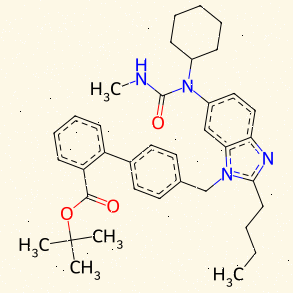 CCCCc1nc2ccc(N(C(=O)NC)C3CCCCC3)cc2n1Cc1ccc(-c2ccccc2C(=O)OC(C)(C)C)cc1